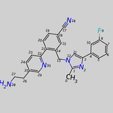 Cc1nc(-c2cccc(F)c2)cn1Cc1cc(C#N)ccc1-c1ccc(CCN)cn1